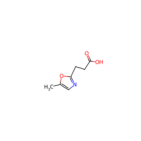 Cc1cnc(CCC(=O)O)o1